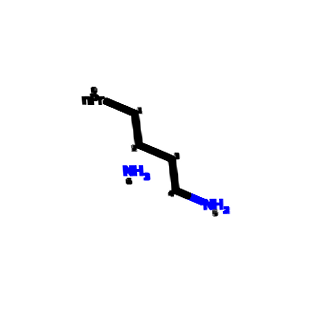 CCCCCCCN.N